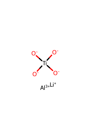 [Al+3].[Li+].[O-][Ti]([O-])([O-])[O-]